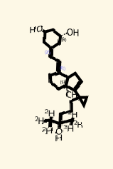 [2H]C([2H])([2H])C(O)(CCCC1(C2=CCC3/C(=C/C=C4/CC(O)C[C@H](O)C4)CCC[C@]23C)CC1)C([2H])([2H])[2H]